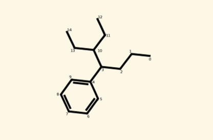 CCCC(c1[c]cccc1)C(CC)CC